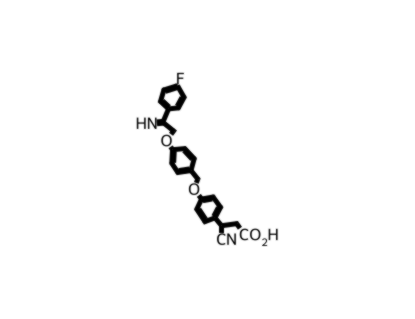 N#CC(CC(=O)O)c1ccc(OCc2ccc(OCC(=N)c3ccc(F)cc3)cc2)cc1